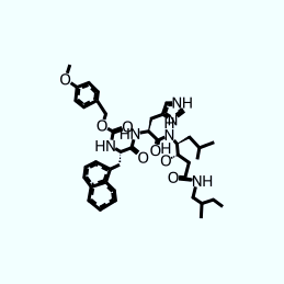 CCC(C)CNC(=O)C[C@H](O)[C@H](CC(C)C)NC(=O)[C@H](Cc1c[nH]cn1)NC(=O)[C@H](Cc1cccc2ccccc12)NC(=O)OCc1ccc(OC)cc1